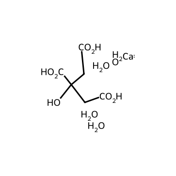 O.O.O.O.O=C(O)CC(O)(CC(=O)O)C(=O)O.[Ca]